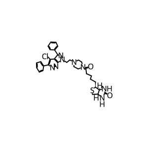 O=C1N[C@H]2[C@H](CS[C@H]2CCCCC(=O)N2CCN(CCn3nc(-c4ccccc4)c4c(Cl)c(-c5ccccc5)nnc43)CC2)N1